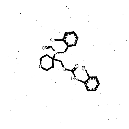 O=CN(Cc1ccccc1Cl)C1(COC(=O)Nc2ccccc2Cl)CCOCC1